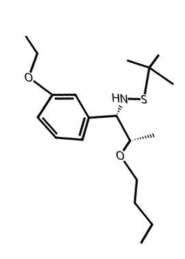 CCCCO[C@@H](C)[C@@H](NSC(C)(C)C)c1cccc(OCC)c1